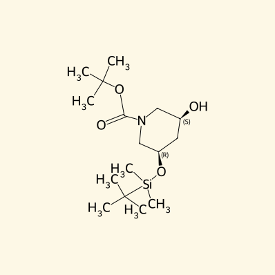 CC(C)(C)OC(=O)N1C[C@@H](O)C[C@@H](O[Si](C)(C)C(C)(C)C)C1